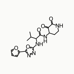 CC(C)C(Nc1nnc(-c2ccco2)o1)C(=O)NC1CCNC(=O)C1=O